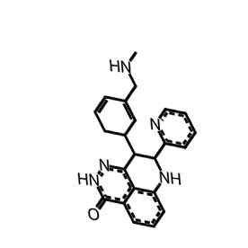 CNCC1=CC(C2c3n[nH]c(=O)c4cccc(c34)NC2c2ccccn2)CC=C1